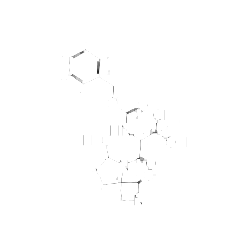 CC1CCC2(CNC2=O)N1C(=O)[C@@H](NC(=O)OCc1ccccc1)[C@@H](C)O